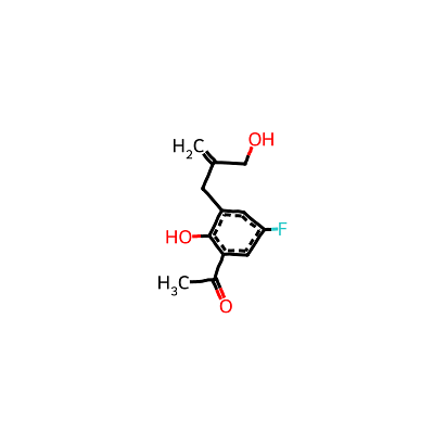 C=C(CO)Cc1cc(F)cc(C(C)=O)c1O